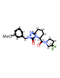 COc1cccc(Cn2nc3n(c2=O)C(C(=O)N2CCC(F)(F)C2)CCC3)c1